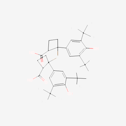 CC(C)(C)c1cc(C2(SC3(c4cc(C(C)(C)C)c(O)c(C(C)(C)C)c4)CCC3C(=O)O)CCC2C(=O)O)cc(C(C)(C)C)c1O